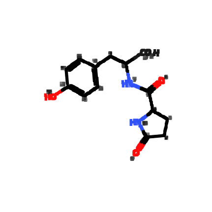 O=C1CCC(C(=O)NC(Cc2ccc(O)cc2)C(=O)O)N1